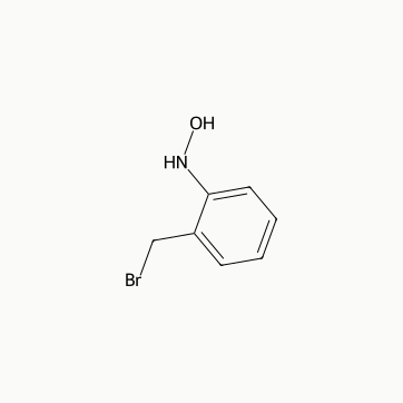 ONc1ccccc1CBr